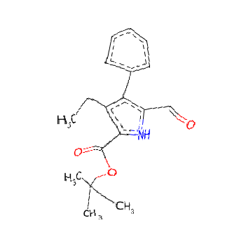 CCc1c(C(=O)OC(C)(C)C)[nH]c(C=O)c1-c1ccccc1